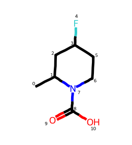 CC1CC(F)CCN1C(=O)O